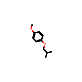 COc1ccc(OC[C](C)C)cc1